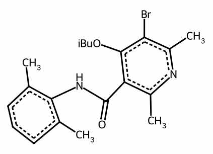 Cc1cccc(C)c1NC(=O)c1c(C)nc(C)c(Br)c1OCC(C)C